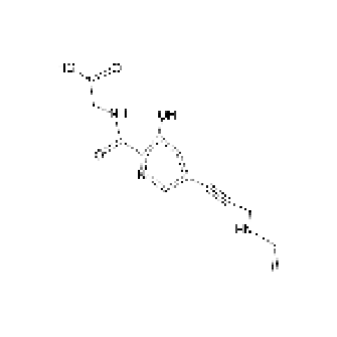 C=CNCC#Cc1cnc(C(=O)NCC(=O)O)c(O)c1